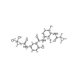 CC1(C(=O)Nc2c(F)ccc(NC(=O)c3cc(NC(=O)C4CC4(Cl)Cl)ccc3Cl)c2F)CC1